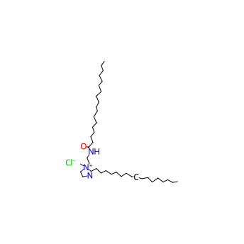 CCCCCCCCCCCCCCCCCC(=O)NCC[N+]1(C)CCN=C1CCCCCCCCCCCCCCCCC.[Cl-]